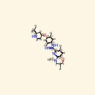 CCCN1CC(C)COc2cc(C)c(C(=N)Nc3cc(C)c(OC4=CC(=C(C)C)NC=C4)cc3C)nc21